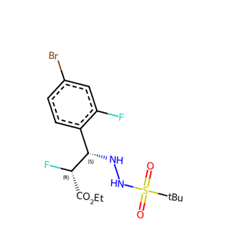 CCOC(=O)[C@H](F)[C@@H](NNS(=O)(=O)C(C)(C)C)c1ccc(Br)cc1F